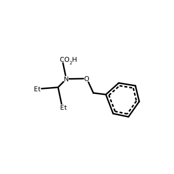 CCC(CC)N(OCc1ccccc1)C(=O)O